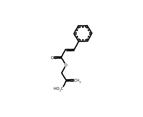 C=C(COC(=O)C=Cc1ccccc1)C(=O)O